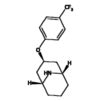 FC(F)(F)c1ccc(O[C@@H]2C[C@H]3CCC[C@@H](C2)N3)cc1